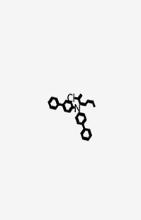 C=C(Cl)/C(=C\C=C/C)N(c1ccc(-c2ccccc2)cc1)c1ccc(-c2ccccc2)cc1